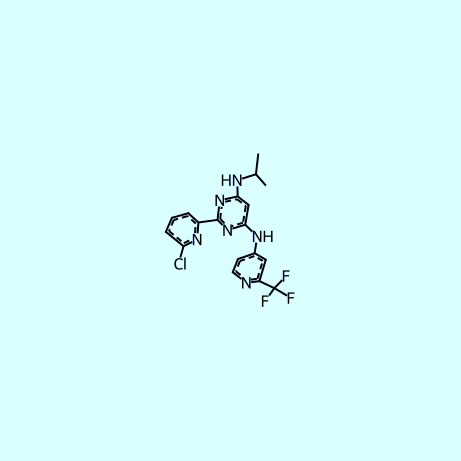 CC(C)Nc1cc(Nc2ccnc(C(F)(F)F)c2)nc(-c2cccc(Cl)n2)n1